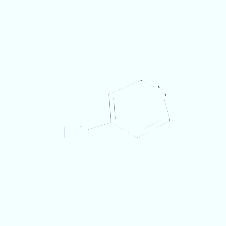 CC1=CC[N]C=C1